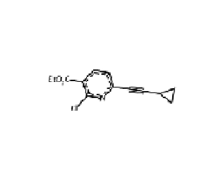 CCOC(=O)c1ccc(C#CC2CC2)nc1Cl